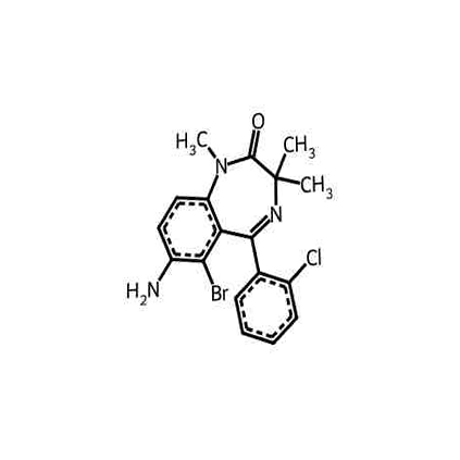 CN1C(=O)C(C)(C)N=C(c2ccccc2Cl)c2c1ccc(N)c2Br